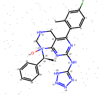 Cc1cc(F)ccc1-c1nc(Nc2nnn[nH]2)nc2c1CNC[N+]2([O-])[C@@H](C)c1ccccc1